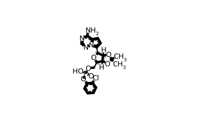 CC1(C)O[C@@H]2[C@H](O1)[C@@H](COP(=O)(O)Oc1ccccc1Cl)O[C@H]2c1ccc2c(N)ncnn12